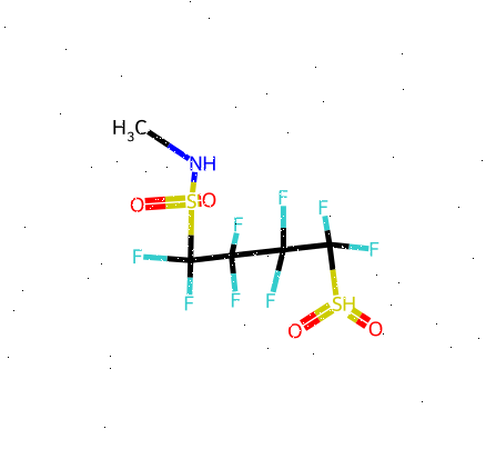 CNS(=O)(=O)C(F)(F)C(F)(F)C(F)(F)C(F)(F)[SH](=O)=O